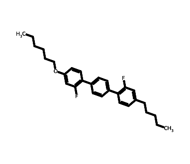 CCCCCCOc1ccc(-c2ccc(-c3ccc(CCCCC)cc3F)cc2)c(F)c1